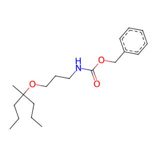 CCCC(C)(CCC)OCCCNC(=O)OCc1ccccc1